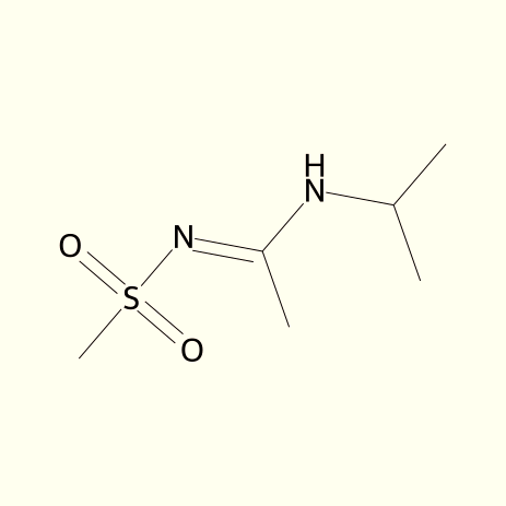 C/C(=N\S(C)(=O)=O)NC(C)C